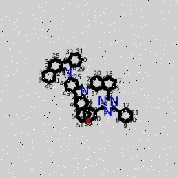 c1ccc(-c2nc(-c3ccccc3)nc(-c3cccc4ccc(-n5c6cc(-n7c8ccccc8c8ccc9ccccc9c87)ccc6c6cc7ccccc7cc65)cc34)n2)cc1